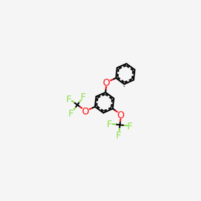 FC(F)(F)Oc1cc(Oc2[c]cccc2)cc(OC(F)(F)F)c1